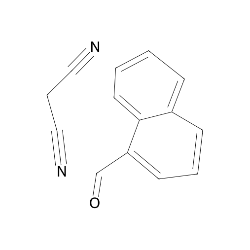 N#CCC#N.O=Cc1cccc2ccccc12